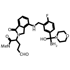 BC(O)(c1ccc(F)c(CNc2cccc3c2CN(C(CCC=O)C(=O)NC)C3=O)c1)N1CCOCC1